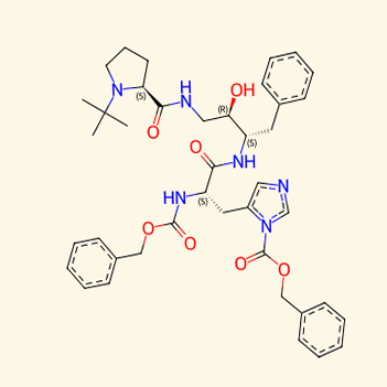 CC(C)(C)N1CCC[C@H]1C(=O)NC[C@@H](O)[C@H](Cc1ccccc1)NC(=O)[C@H](Cc1cncn1C(=O)OCc1ccccc1)NC(=O)OCc1ccccc1